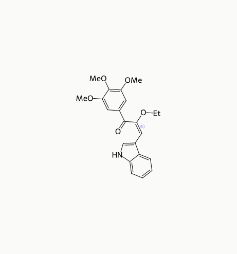 CCO/C(=C/c1c[nH]c2ccccc12)C(=O)c1cc(OC)c(OC)c(OC)c1